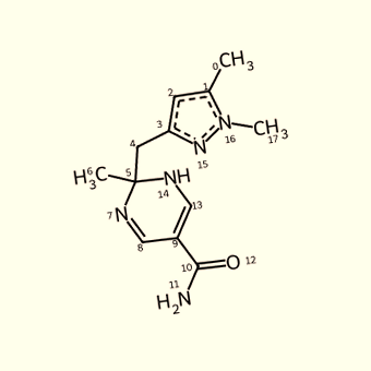 Cc1cc(CC2(C)N=CC(C(N)=O)=CN2)nn1C